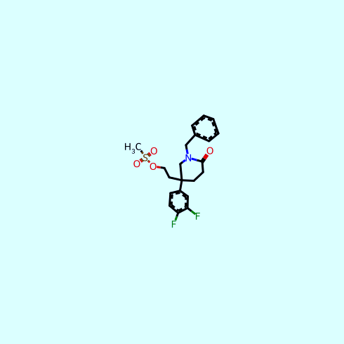 CS(=O)(=O)OCCC1(c2ccc(F)c(F)c2)CCC(=O)N(Cc2ccccc2)C1